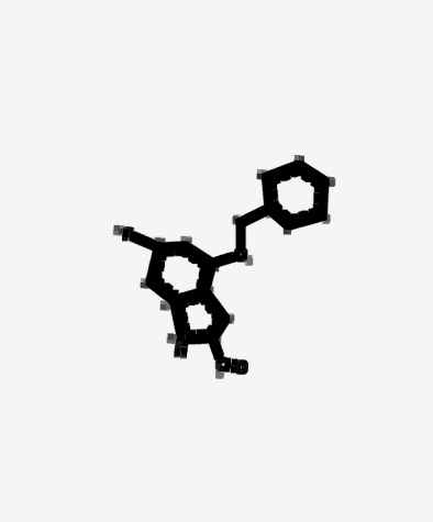 O=Cc1cc2c(OCc3ccccc3)cc(F)cc2[nH]1